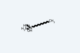 CCCCCCCCCCCCCNN(N=N)C(N)=O